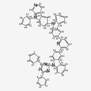 c1ccc(-c2nc(-c3ccccc3)nc(-n3c4ccccc4c4cc(-c5cccc(-c6ccc7c(c6)c6ccccc6n7-c6ccc7c(c6)c6ccncc6n7-c6ccccc6)n5)ccc43)n2)cc1